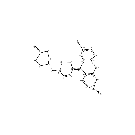 O[C@H]1CC[C@H](CN2C=CC(=C3c4ccc(F)cc4Sc4ccc(Cl)cc43)CC2)CC1